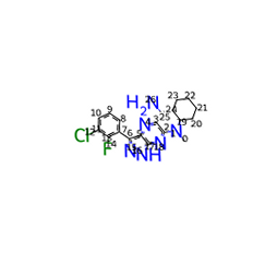 CN(c1cnc2c(-c3cccc(Cl)c3F)n[nH]c2n1)[C@@H]1CCCC[C@H]1CN